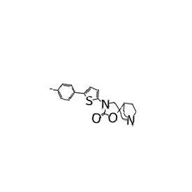 Cc1ccc(-c2ccc(N3CC4(CN5CCC4CC5)OC3=O)s2)cc1